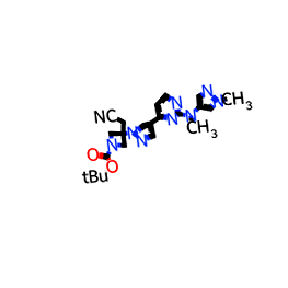 CN(c1cnn(C)c1)c1nccc(-c2cnn(C3(CC#N)CN(C(=O)OC(C)(C)C)C3)c2)n1